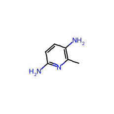 Cc1nc(N)ccc1N